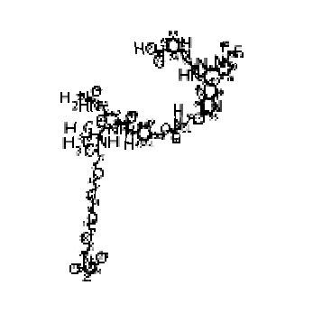 CC(C)C(NC(=O)CCOCCOCCOCCOCCN1C(=O)C=CC1=O)C(=O)N[C@@H](CCCNC(N)=O)C(=O)Nc1ccc(COC(=O)NCCOc2cnc3ccc(-c4[nH]c(CNc5cccc(C(=O)O)c5)nc4-c4cccc(C(F)F)n4)nc3c2)cc1